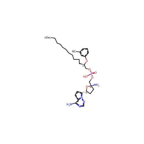 CCCCCCCCCCCCCCCCCCCC[C@H](COP(=O)(O)OC[C@]1(N)CC[C@H](c2ccc3c(N)ncnn23)O1)Oc1cccc(C#N)c1